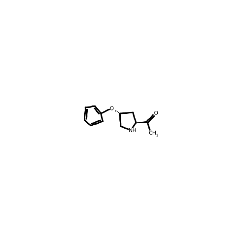 CC(=O)[C@@H]1C[C@@H](Oc2ccccc2)CN1